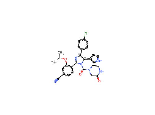 CC(C)Oc1cc(C#N)ccc1C1=N[C@@H](c2ccc(Cl)cc2)[C@@H](c2cc[nH]c2)N1C(=O)N1CCNC(=O)C1